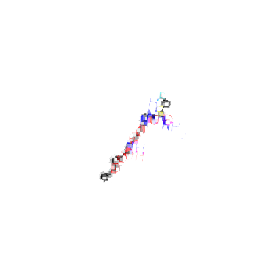 NC(=O)Nc1cc(-c2cccc(F)c2)sc1C(=O)NC1CCCN(CCOCCOCCNCC(O)COc2cccc(OCCc3ccccc3)c2)C1